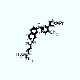 Cc1cnc(Nc2ccc3c(c2)CN(NC(=O)/C=C/CN(C)C)CC3)nc1-c1cnn(C(C)C)c1